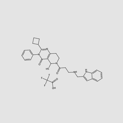 O=C(CCNCc1cc2ccccc2[nH]1)N1CCc2nc(C3CCC3)n(-c3ccccc3)c(=O)c2C1S.O=C(O)C(F)(F)F